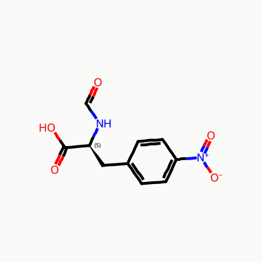 O=CN[C@@H](Cc1ccc([N+](=O)[O-])cc1)C(=O)O